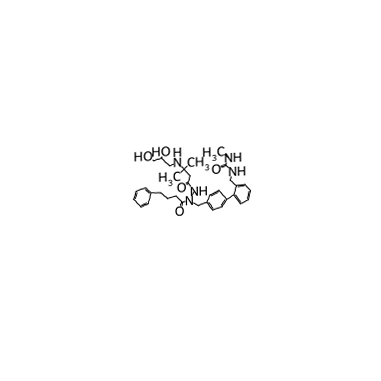 CNC(=O)NCc1ccccc1-c1ccc(CN(NC(=O)CC(C)(C)NC[C@H](O)CO)C(=O)CCCc2ccccc2)cc1